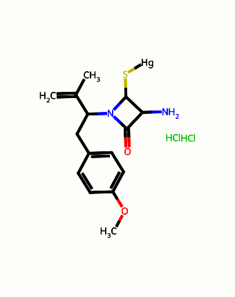 C=C(C)C(Cc1ccc(OC)cc1)N1C(=O)C(N)C1[S][Hg].Cl.Cl